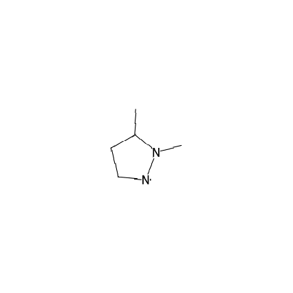 CC1CC[N]N1C